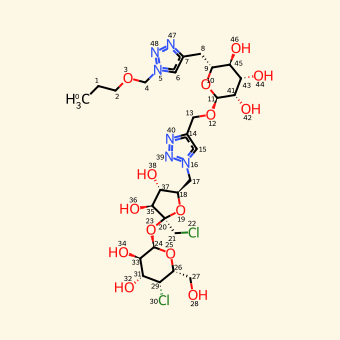 CCCOCn1cc(C[C@H]2O[C@H](OCc3cn(C[C@H]4O[C@@](CCl)(O[C@H]5O[C@H](CO)[C@H](Cl)[C@H](O)[C@H]5O)[C@@H](O)[C@@H]4O)nn3)[C@@H](O)[C@@H](O)[C@@H]2O)nn1